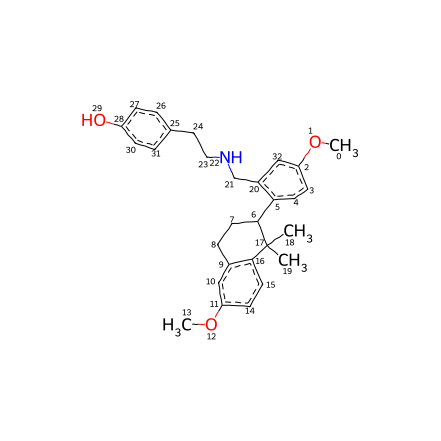 COc1ccc(C2CCc3cc(OC)ccc3C2(C)C)c(CNCCc2ccc(O)cc2)c1